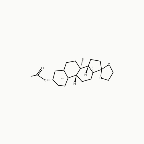 CC(=O)O[C@H]1CC[C@@]2(C)C(CC[C@@H]3[C@@H]2CC[C@@]2(C)[C@H]3CCC23OCCO3)C1